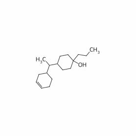 CCCC1(O)CCC(C(C)C2CC=CCC2)CC1